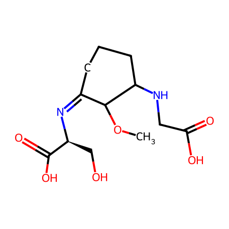 COC1/C(=N\[C@@H](CO)C(=O)O)CCCC1NCC(=O)O